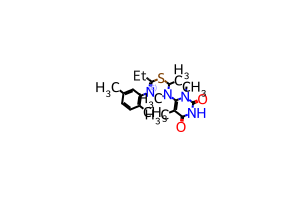 CC/C(=N\c1cc(C)ccc1C)SC(C)N(C)c1c(C)c(=O)[nH]c(=O)n1C